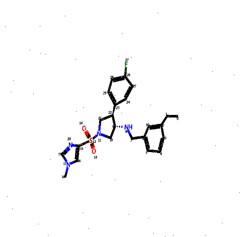 CCc1cccc(CN[C@@H]2CN(S(=O)(=O)c3cn(C)cn3)C[C@H]2c2ccc(F)cc2)c1